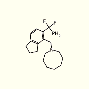 FC(F)(P)c1ccc2c(c1CN1CCCCCCC1)CCC2